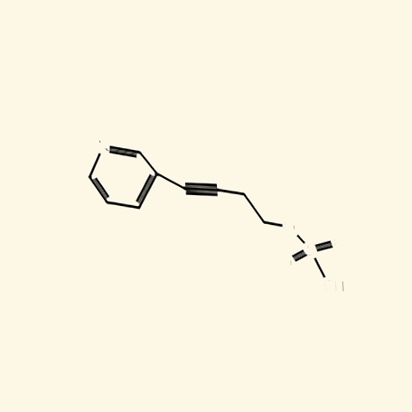 CS(=O)(=O)OCCC#Cc1cccnc1